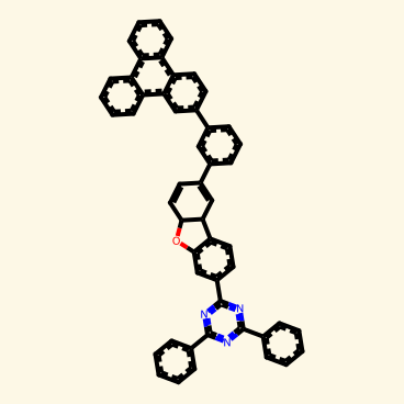 C1=CC2Oc3cc(-c4nc(-c5ccccc5)nc(-c5ccccc5)n4)ccc3C2C=C1c1cccc(-c2ccc3c4ccccc4c4ccccc4c3c2)c1